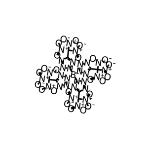 O=[N+]([O-])C(c1nnn([B-](n2nnc(C([N+](=O)[O-])([N+](=O)[O-])[N+](=O)[O-])n2)(n2nnc(C([N+](=O)[O-])([N+](=O)[O-])[N+](=O)[O-])n2)n2nnc(C([N+](=O)[O-])([N+](=O)[O-])[N+](=O)[O-])n2)n1)([N+](=O)[O-])[N+](=O)[O-]